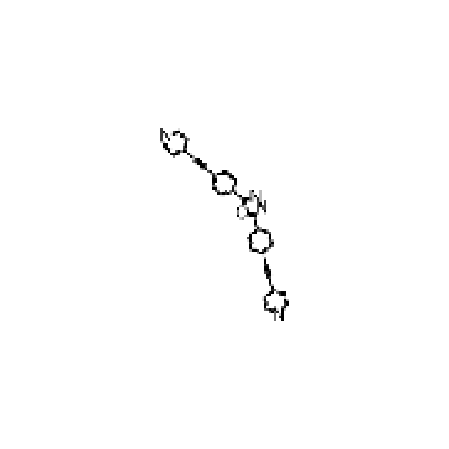 C(#Cc1ccc(-c2nnc(-c3ccc(C#Cc4ccncc4)cc3)o2)cc1)c1ccncc1